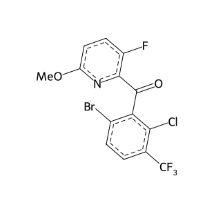 COc1ccc(F)c(C(=O)c2c(Br)ccc(C(F)(F)F)c2Cl)n1